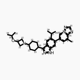 Cc1cc(-c2cc3[nH]nc(C4CCC(N5CC(OC(C)C)C5)CC4)c3cc2C(C)C)cn2ncnc12